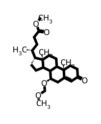 COCO[C@@H]1CC2=CC(=O)CC[C@]2(C)C2CC[C@@]3(C)C(CC[C@@H]3[C@H](C)CCC(=O)OC)C21